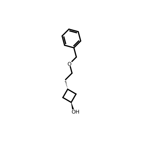 O[C@H]1C[C@H](CCOCc2ccccc2)C1